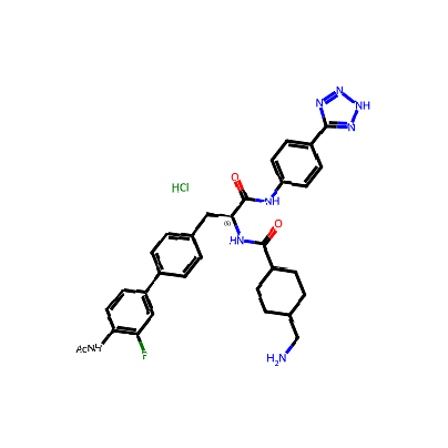 CC(=O)Nc1ccc(-c2ccc(C[C@H](NC(=O)C3CCC(CN)CC3)C(=O)Nc3ccc(-c4nn[nH]n4)cc3)cc2)cc1F.Cl